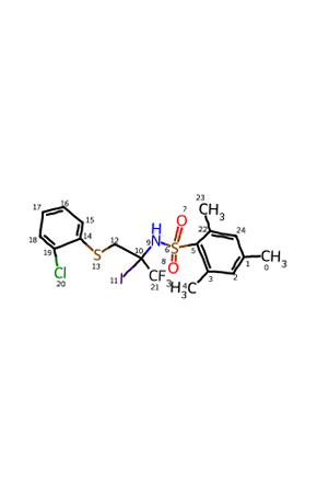 Cc1cc(C)c(S(=O)(=O)NC(I)(CSc2ccccc2Cl)C(F)(F)F)c(C)c1